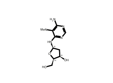 CNc1c(N)ncnc1N[C@H]1C[C@@H](O)[C@@H](CO)O1